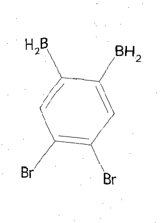 Bc1cc(Br)c(Br)cc1B